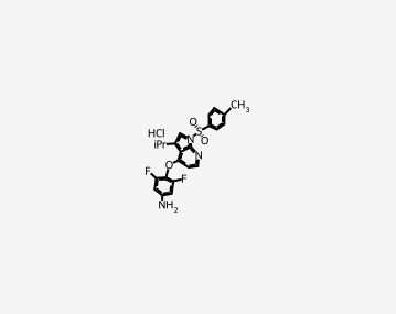 Cc1ccc(S(=O)(=O)n2cc(C(C)C)c3c(Oc4c(F)cc(N)cc4F)ccnc32)cc1.Cl